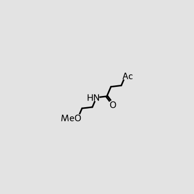 COCCNC(=O)CCC(C)=O